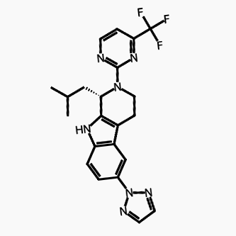 CC(C)C[C@H]1c2[nH]c3ccc(-n4nccn4)cc3c2CCN1c1nccc(C(F)(F)F)n1